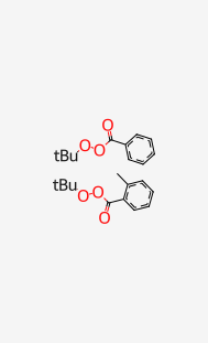 CC(C)(C)OOC(=O)c1ccccc1.Cc1ccccc1C(=O)OOC(C)(C)C